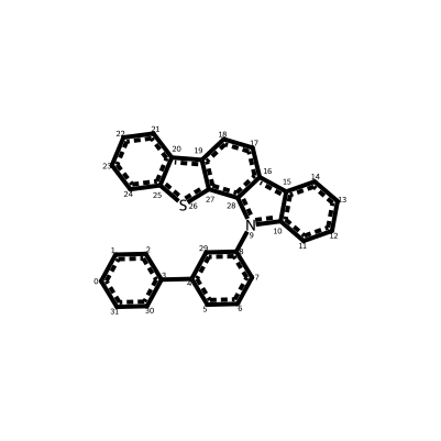 c1ccc(-c2cccc(-n3c4ccccc4c4ccc5c6ccccc6sc5c43)c2)cc1